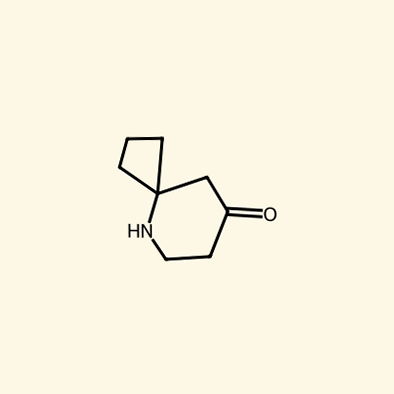 O=C1CCNC2(CCC2)C1